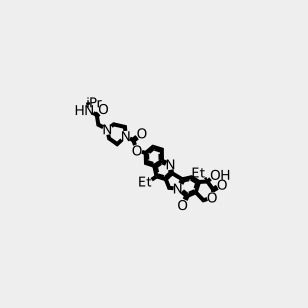 CCc1c2c(nc3ccc(OC(=O)N4CCN(CC(=O)NC(C)C)CC4)cc13)-c1cc3c(c(=O)n1C2)COC(=O)[C@]3(O)CC